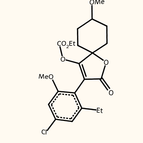 CCOC(=O)OC1=C(c2c(CC)cc(Cl)cc2OC)C(=O)OC12CCC(OC)CC2